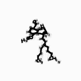 CCCCN(CCCC)CCc1c[nH]c2c(C=O)ccc(OC)c12